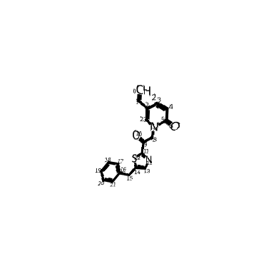 C=Cc1ccc(=O)n(CC(=O)c2ncc(Cc3ccccc3)s2)c1